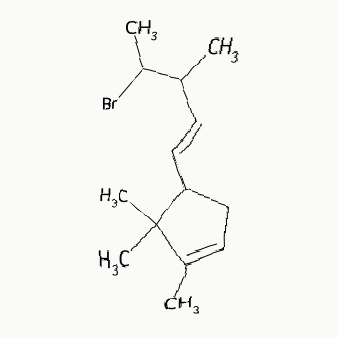 CC1=CCC(C=CC(C)C(C)Br)C1(C)C